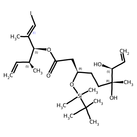 C=C[C@H](C)[C@H](OC(=O)C[C@@H](CC[C@@](C)(O)[C@@H](O)C=C)O[Si](C)(C)C(C)(C)C)/C(C)=C/I